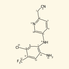 N#CCc1ccc(Nc2cc(Cl)c(C(F)(F)F)cc2N)cn1